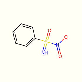 N=S(=O)(c1ccccc1)[N+](=O)[O-]